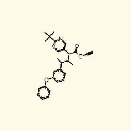 C#COC(=O)C(c1cnc(C(C)(C)C)nc1)C(C)C(C)c1cccc(Oc2ccccc2)c1